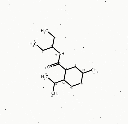 CCC(CC)NC(=O)C1CC(C)CCC1C(C)C